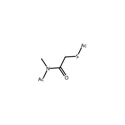 CC(=O)SCC(=O)N(C)C(C)=O